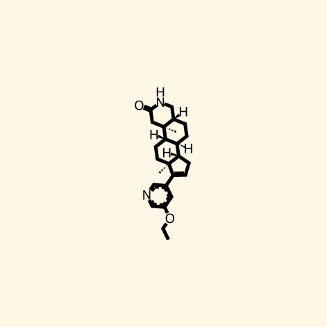 CCOc1cncc(C2=CC[C@H]3[C@@H]4CC[C@H]5CNC(=O)C[C@]5(C)[C@H]4CC[C@]23C)c1